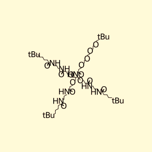 CC(C)(C)CCCCC(=O)NCCCNC(=O)CCOCC(COCCC(=O)NCCCNC(=O)CCCCC(C)(C)C)(COCCC(=O)NCCCNC(=O)CCCCC(C)(C)C)NC(=O)CCOCCOCCOCCOCCC(C)(C)C